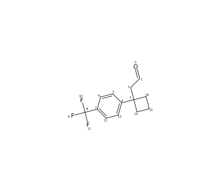 O=CCC1(c2ccc(C(F)(F)F)cc2)CCC1